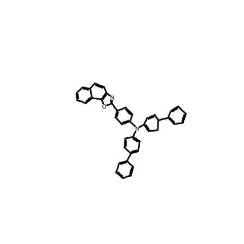 C1=CC(c2ccccc2)CC=C1N(c1ccc(-c2ccccc2)cc1)c1ccc(-c2nc3ccc4ccccc4c3o2)cc1